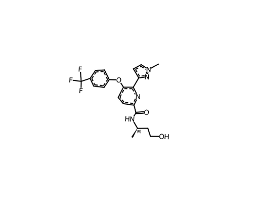 C[C@H](CCO)NC(=O)c1ccc(Oc2ccc(C(F)(F)F)cc2)c(-c2ccn(C)n2)n1